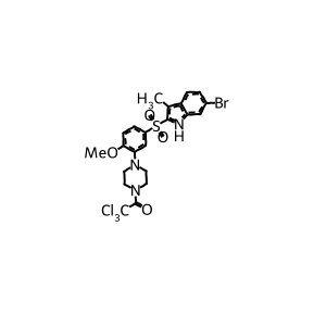 COc1ccc(S(=O)(=O)c2[nH]c3cc(Br)ccc3c2C)cc1N1CCN(C(=O)C(Cl)(Cl)Cl)CC1